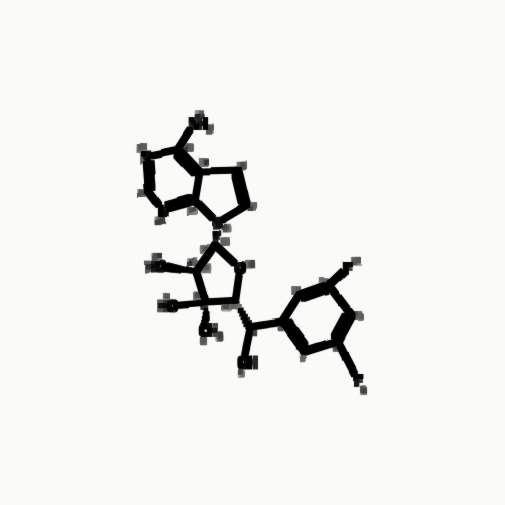 C[C@@]1(O)[C@@H](C(O)c2cc(F)cc(F)c2)O[C@@H](n2ccc3c(N)ncnc32)[C@@H]1O